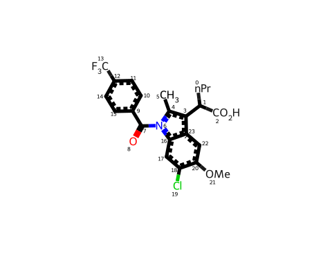 CCCC(C(=O)O)c1c(C)n(C(=O)c2ccc(C(F)(F)F)cc2)c2cc(Cl)c(OC)cc12